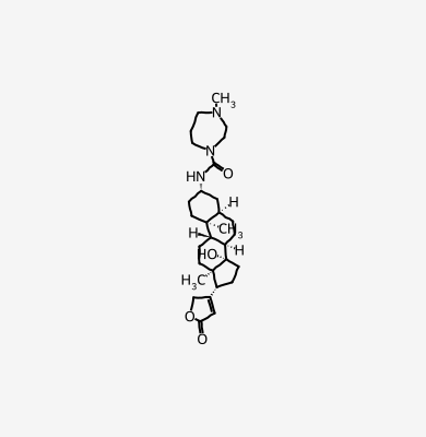 CN1CCCN(C(=O)N[C@H]2CC[C@@]3(C)[C@H](CC[C@@H]4[C@@H]3CC[C@]3(C)[C@@H](C5=CC(=O)OC5)CC[C@]43O)C2)CC1